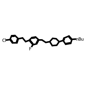 CCCCc1ccc(C2CCC(CCc3ccc(CCc4ccc(Cl)cc4)c(F)c3)CC2)cc1